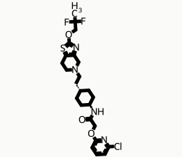 CC(F)(F)COc1nc2c(s1)CCN(CC[C@H]1CC[C@H](NC(=O)COc3cccc(Cl)n3)CC1)C2